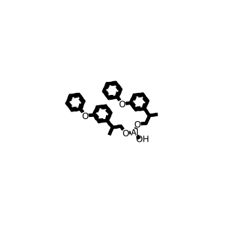 CC(C[O][Al]([OH])[O]CC(C)c1cccc(Oc2ccccc2)c1)c1cccc(Oc2ccccc2)c1